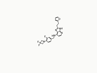 Fc1cc(CNc2ccnc3[nH]c(CCc4ccco4)nc23)ccc1N1CC(F)(F)C1